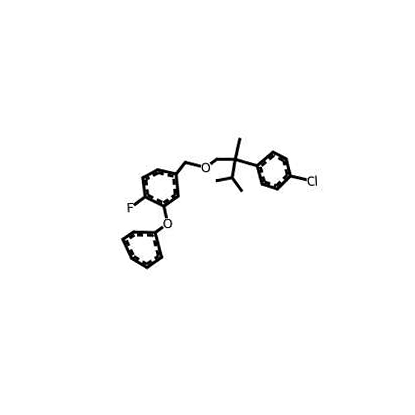 CC(C)C(C)(COCc1ccc(F)c(Oc2ccccc2)c1)c1ccc(Cl)cc1